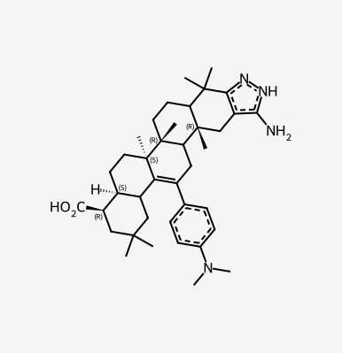 CN(C)c1ccc(C2=C3C4CC(C)(C)C[C@@H](C(=O)O)[C@H]4CC[C@@]3(C)[C@]3(C)CCC4C(C)(C)c5n[nH]c(N)c5C[C@]4(C)C3C2)cc1